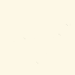 O=C(O)CC(Cc1cc(OCCc2ccc3c(n2)NCCC3)no1)c1csc(-c2ccc(Cl)cc2)n1